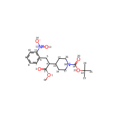 COC(=O)C(Cc1ccccc1[N+](=O)[O-])C1CCN(C(=O)OC(C)(C)C)CC1